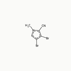 Cn1cc(Br)c(Br)c1C#N